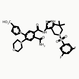 CC1(C)CN(S(=O)(=O)c2cc(F)cc(F)c2)Cc2c(NC(=O)c3cc(-n4ccc(C(=O)O)c4)c(N4CCOCC4)cc3C(N)=O)n[nH]c21